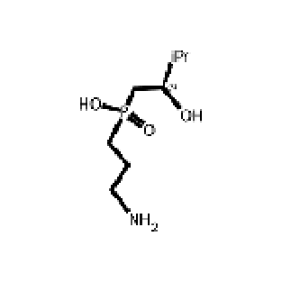 CC(C)[C@@H](O)CP(=O)(O)CCCN